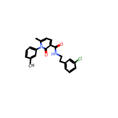 Cc1ccc(C(=O)NCCc2cccc(Cl)c2)c(=O)n1-c1cccc(C#N)c1